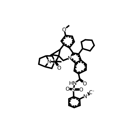 [C-]#[N+]c1ccccc1S(=O)(=O)NC(=O)c1ccc2c(C3CCCCC3)c3n(c2c1)CC1(C(=O)N2C4CCC2CN(C)C4)CC1c1cc(OC)ccc1-3